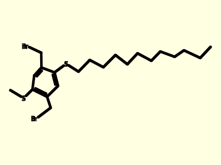 CCCCCCCCCCCCSc1cc(CBr)c(SC)cc1CBr